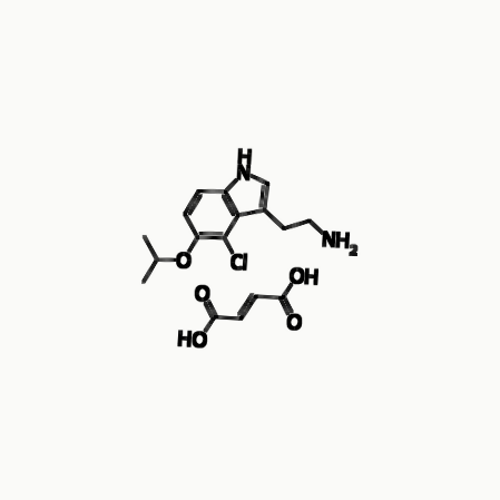 CC(C)Oc1ccc2[nH]cc(CCN)c2c1Cl.O=C(O)C=CC(=O)O